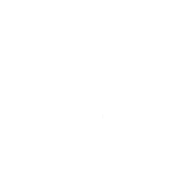 C1CCCC(C23OCCCCC2O3)CC1